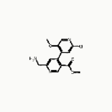 COC(=O)c1cnc(CN)cc1-c1cc(Cl)ncc1OC